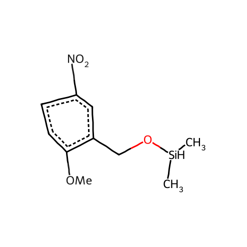 COc1ccc([N+](=O)[O-])cc1CO[SiH](C)C